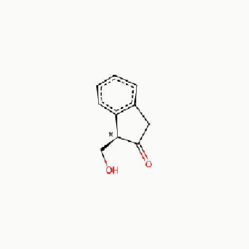 O=C1Cc2ccccc2[C@@H]1CO